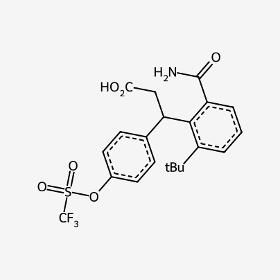 CC(C)(C)c1cccc(C(N)=O)c1C(CC(=O)O)c1ccc(OS(=O)(=O)C(F)(F)F)cc1